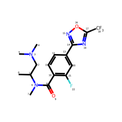 CC(CN(C)C)N(C)C(=O)c1ccc(-c2noc(C(F)(F)F)n2)cc1F